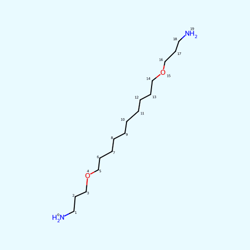 NCCCOCCCCCCCCCCOCCCN